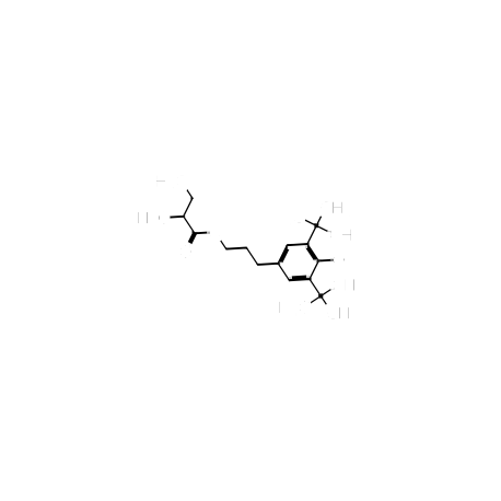 CCC(C)C(=O)OCCCc1cc(C(C)(C)C)c(O)c(C(C)(C)C)c1